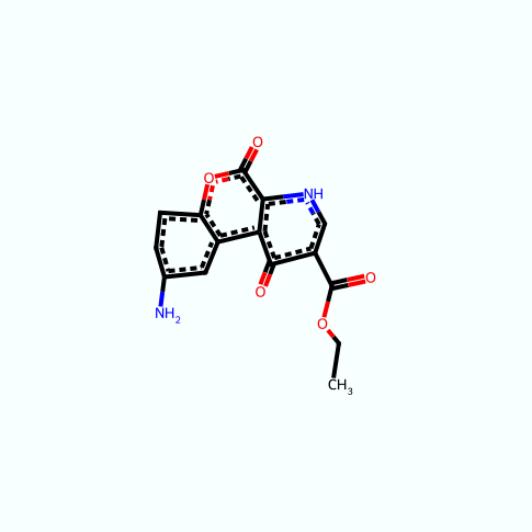 CCOC(=O)c1c[nH]c2c(=O)oc3ccc(N)cc3c2c1=O